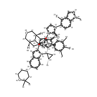 Cc1cc(-n2nc3c(c2-n2ccn(-c4ccc5c(cnn5C)c4F)c2=O)[C@H]2COC[C@@H](C3)N2C(=O)c2cc3cc([C@H]4CCOC(C)(C)C4)ccc3n2[C@@]2(c3noc(=O)[nH]3)C[C@@H]2C)cc(C)c1F